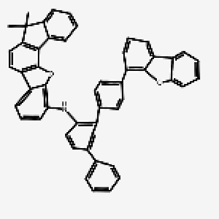 CC1(C)c2ccccc2-c2c1ccc1c2oc2c(Nc3ccc(-c4ccccc4)cc3-c3ccc(-c4cccc5c4oc4ccccc45)cc3)cccc21